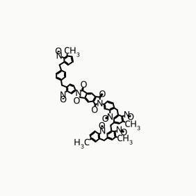 Cc1ccc(N=O)c(Cc2cc(C)c(N=O)c(Cc3cc(C)c(N=O)c(Cc4ccc(-n5c(=O)c6cc7c(=O)n(-c8ccc(Cc9ccc(Cc%10cccc(C)c%10N=O)cc9)c(N=O)c8)c(=O)c7cc6c5=O)cc4N=O)c3)c2)c1